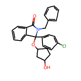 O=C1c2ccccc2C(OC2CCC(O)C2)(c2ccc(Cl)cc2)N1Cc1ccccc1